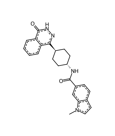 Cn1ccc2ccc(C(=O)N[C@H]3CC[C@H](c4n[nH]c(=O)c5ccccc54)CC3)cc21